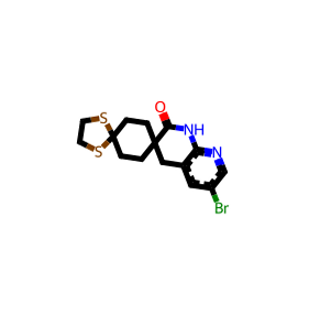 O=C1Nc2ncc(Br)cc2CC12CCC1(CC2)SCCS1